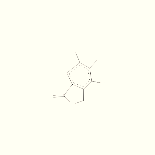 Cc1c(Cl)cc2c(c1Cl)COC2=O